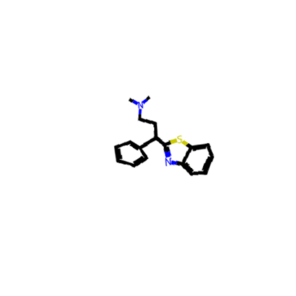 CN(C)CCC(c1ccccc1)c1nc2ccccc2s1